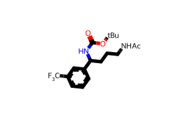 CC(=O)NCCCC(NC(=O)OC(C)(C)C)c1cccc(C(F)(F)F)c1